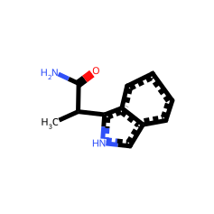 CC(C(N)=O)c1[nH]cc2ccccc12